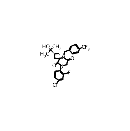 CC(C)(O)[C@H]1C[C@@]2(C1)C(=O)N(c1ccc(Cl)cc1F)CC(=O)N2Cc1ccc(C(F)(F)F)cc1